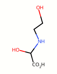 O=C(O)C(O)NCCO